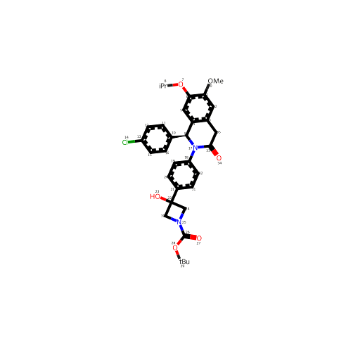 COc1cc2c(cc1OC(C)C)[C@H](c1ccc(Cl)cc1)N(c1ccc(C3(O)CN(C(=O)OC(C)(C)C)C3)cc1)C(=O)C2